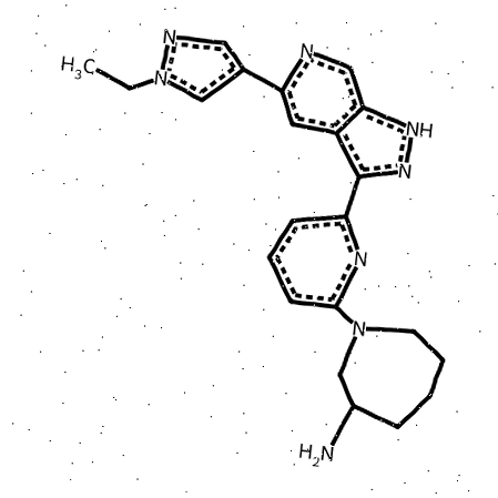 CCn1cc(-c2cc3c(-c4cccc(N5CCCCC(N)C5)n4)n[nH]c3cn2)cn1